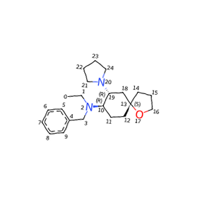 CCN(Cc1ccccc1)[C@@H]1CC[C@]2(CCCO2)C[C@H]1N1CCCC1